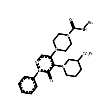 CCOC(=O)C1CCCN(c2c(N3CCN(C(=O)NC(C)(C)C)CC3)cnn(-c3ccccc3)c2=O)C1